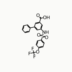 O=C(O)c1cc(NS(=O)(=O)c2ccc(OC(F)(F)F)cc2)cc(-c2ccccc2)c1